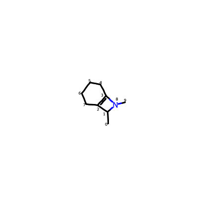 CC1C2=C(CCCC2)N1C